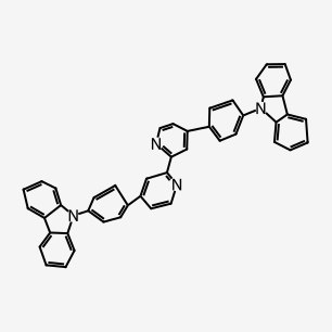 c1ccc2c(c1)c1ccccc1n2-c1ccc(-c2ccnc(-c3cc(-c4ccc(-n5c6ccccc6c6ccccc65)cc4)ccn3)c2)cc1